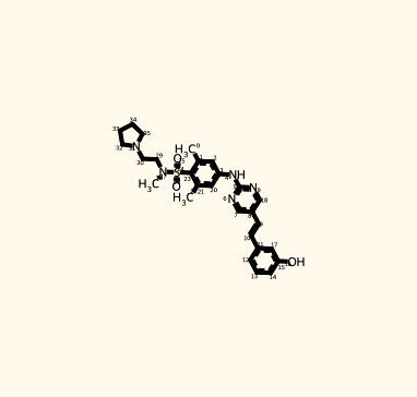 Cc1cc(Nc2ncc(C=Cc3cccc(O)c3)cn2)cc(C)c1S(=O)(=O)N(C)CCN1CCCC1